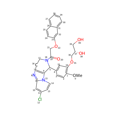 COc1ccc(C2c3c(nc4cc(Cl)ccn34)CCN2C(=O)COc2ccc3ccccc3c2)cc1OC[C@@H](O)CO